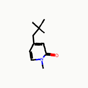 Cn1ccc(CC(C)(C)C)cc1=O